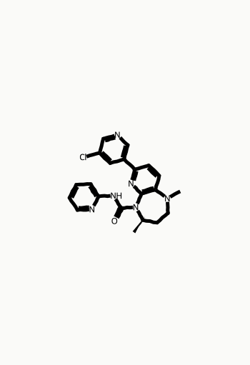 C[C@@H]1CCN(C)c2ccc(-c3cncc(Cl)c3)nc2N1C(=O)Nc1ccccn1